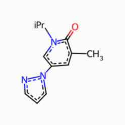 Cc1cc(-n2cccn2)cn(C(C)C)c1=O